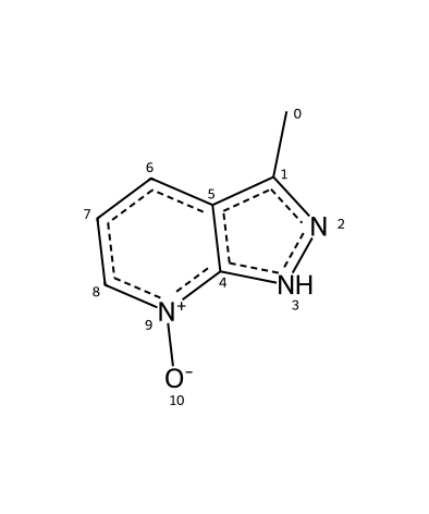 Cc1n[nH]c2c1ccc[n+]2[O-]